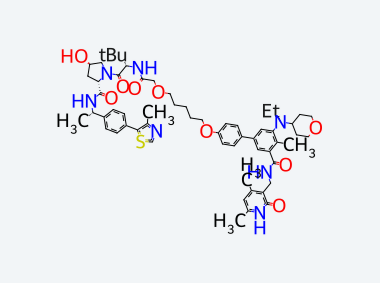 CCN(c1cc(-c2ccc(OCCCCCOCC(=O)N[C@H](C(=O)N3C[C@H](O)C[C@H]3C(=O)N[C@@H](C)c3ccc(-c4scnc4C)cc3)C(C)(C)C)cc2)cc(C(=O)NCc2c(C)cc(C)[nH]c2=O)c1C)C1CCOCC1